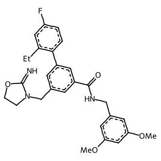 CCc1cc(F)ccc1-c1cc(CN2CCOC2=N)cc(C(=O)NCc2cc(OC)cc(OC)c2)c1